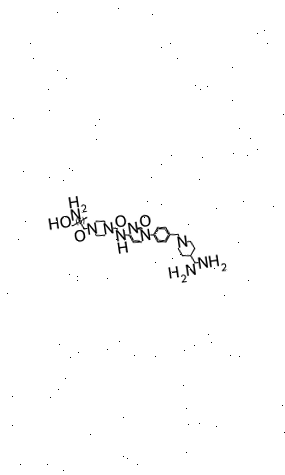 C[C@](N)(CO)C(=O)N1CCN(C(=O)Nc2ccn(-c3ccc(CN4CCC(C(N)N)CC4)cc3)c(=O)n2)CC1